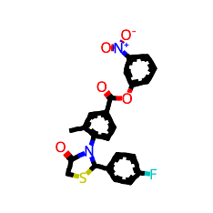 Cc1cc(C(=O)Oc2cccc([N+](=O)[O-])c2)ccc1N1C(=O)CSC1c1ccc(F)cc1